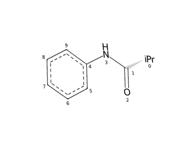 [CH2][C@@H](C)C(=O)Nc1ccccc1